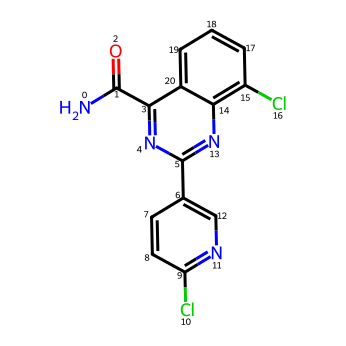 NC(=O)c1nc(-c2ccc(Cl)nc2)nc2c(Cl)cccc12